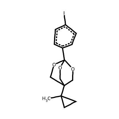 CC1(C23COC(c4ccc(I)cc4)(OC2)OC3)CC1